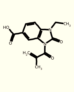 C=C(C)C(=O)n1c(=O)n(CC)c2ccc(C(=O)O)cc21